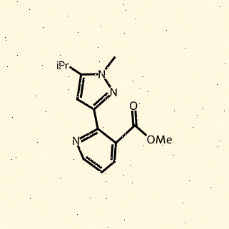 COC(=O)c1cccnc1-c1cc(C(C)C)n(C)n1